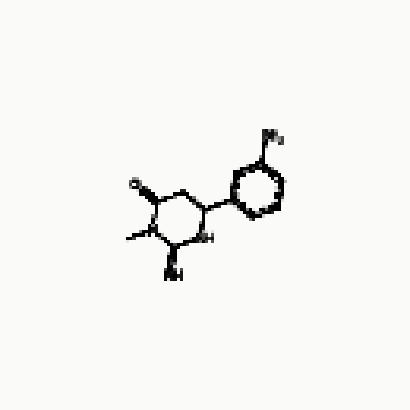 Bc1cccc(C2CC(=O)N(C)C(=N)N2)c1